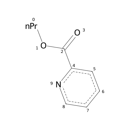 [CH2]CCOC(=O)c1ccccn1